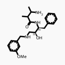 COc1cccc(CNC[C@H](O)[C@H](Cc2ccccc2)NC(=O)C(C)C(C)N)c1